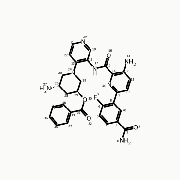 NC(=O)c1ccc(F)c(-c2ccc(N)c(C(=O)Nc3cnccc3N3C[C@@H](N)C[C@H](OC(=O)c4ccccc4)C3)n2)c1